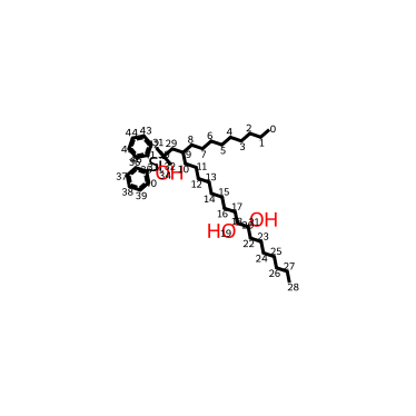 CCCCCCCCCC(CCCCCCCCC(O)C(O)CCCCCCC)CC(C)(C)[Si](O)(c1ccccc1)c1ccccc1